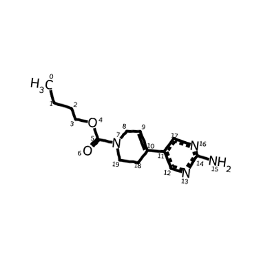 CCCCOC(=O)N1CC=C(c2cnc(N)nc2)CC1